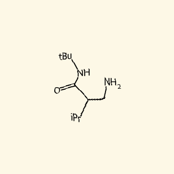 CC(C)C(CN)C(=O)NC(C)(C)C